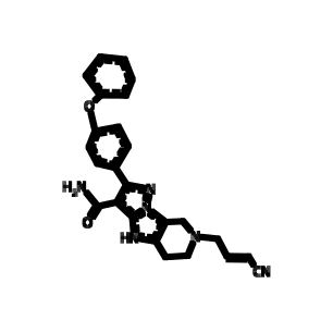 N#CC=CCN1CCc2[nH]c3c(C(N)=O)c(-c4ccc(Oc5ccccc5)cc4)nn3c2C1